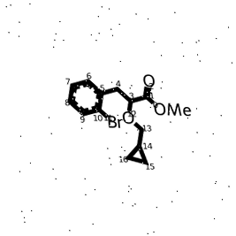 COC(=O)C(Cc1ccccc1Br)OCC1CC1